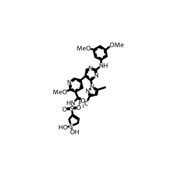 COc1cc(Nc2ncc(-c3cnc(OC)c(C(=O)NS(=O)(=O)C4=CCS(O)(O)C4)c3)c(-n3nc(C(F)(F)F)cc3C)n2)cc(OC)c1